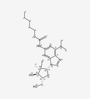 CCCCCOC(=O)Nc1nc(N(C)C)c2ncn([C@@H]3O[C@H](CO)[C@@H](O)[C@@]3(C)F)c2n1